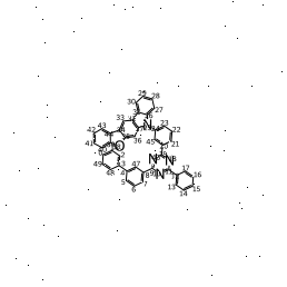 c1ccc(-c2cccc(-c3nc(-c4ccccc4)nc(-c4cccc(-n5c6ccccc6c6cc7c(cc65)oc5ccccc57)c4)n3)c2)cc1